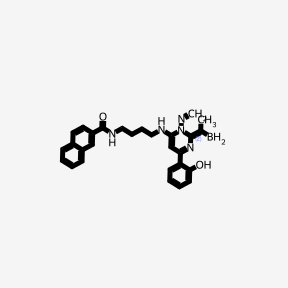 B/C(C)=C1\N=C(c2ccccc2O)C=C(NCCCCNC(=O)c2ccc3ccccc3c2)N1N=C